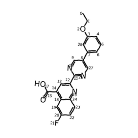 CCOc1cccc(-c2cnc(-c3cc(C(=O)O)c4cc(F)ccc4n3)nc2)c1